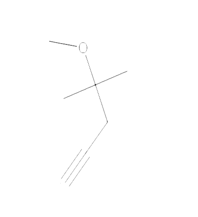 [C]#CCC(C)(C)OC